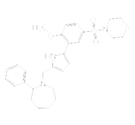 COc1ccc(S(=O)(=O)N2CCSCC2)cc1-c1ccc(CN2CCCCCC2c2ccccc2)[nH]1